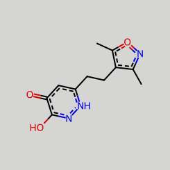 Cc1noc(C)c1CCc1cc(=O)c(O)n[nH]1